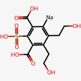 O=C(O)c1[c]([Na])c(CCO)c(CCO)c(C(=O)O)c1S(=O)(=O)O